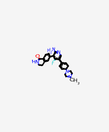 CN1CCN(c2ccc(-c3cnc(N)c(-c4ccc5c(c4)CCNC5=O)c3F)cc2)CC1